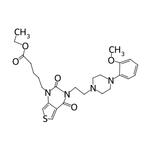 CCOC(=O)CCCCn1c(=O)n(CCN2CCN(c3ccccc3OC)CC2)c(=O)c2cscc21